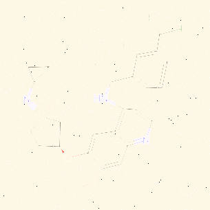 COc1cc2nccc(N[C@H](C)c3cccc(C(F)F)c3F)c2cc1O[C@H]1CCS(=O)(=NC2CC2)C1